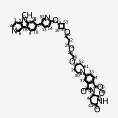 Cn1c2ccncc2c2ccc(-c3ccc(OC4CC(OCCCOCCOC5CCN(c6ccc7c(c6)C(=O)N(C6CCC(=O)NC6=O)C7=O)CC5)C4)nc3)cc21